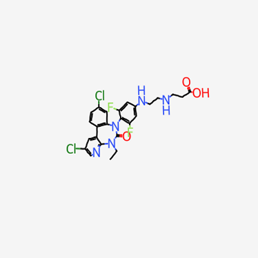 CCN1C(=O)N(c2c(F)cc(NCCNCCC(=O)O)cc2F)c2cc(Cl)ccc2-c2cc(Cl)cnc21